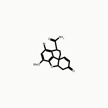 COc1cc(Br)c2c3c1OC1CC(=O)C=CC31CCC2C(N)=O